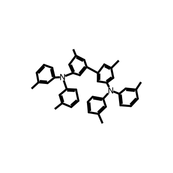 Cc1cccc(N(c2cccc(C)c2)c2cc(C)cc(-c3cc(C)cc(N(c4cccc(C)c4)c4cccc(C)c4)c3)c2)c1